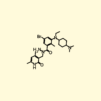 CCN(c1cc(Br)cc(C(=O)N(N)Cc2c(C)cc(C)[nH]c2=O)c1C)C1CCC(N(C)C)CC1